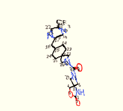 O=C1NC2(CO1)CN(C(=O)N1CC3(CCC(Cc4cnc(C(F)(F)F)cn4)CC3)C1)C2